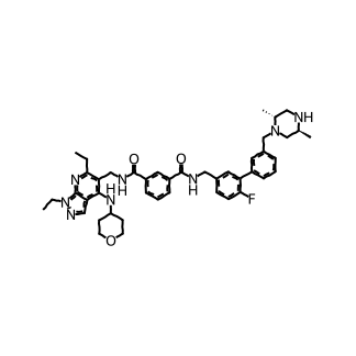 CCc1nc2c(cnn2CC)c(NC2CCOCC2)c1CNC(=O)c1cccc(C(=O)NCc2ccc(F)c(-c3cccc(CN4C[C@H](C)NC[C@H]4C)c3)c2)c1